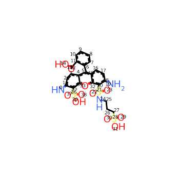 N=c1ccc2c(-c3ccccc3C(=O)O)c3ccc(N)c(S(=O)(=O)NCCCS(=O)(=O)O)c3oc-2c1S(=O)(=O)O